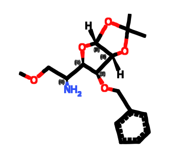 COC[C@@H](N)[C@H]1O[C@@H]2OC(C)(C)O[C@@H]2[C@H]1OCc1ccccc1